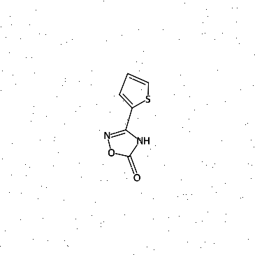 O=c1[nH]c(-c2cccs2)no1